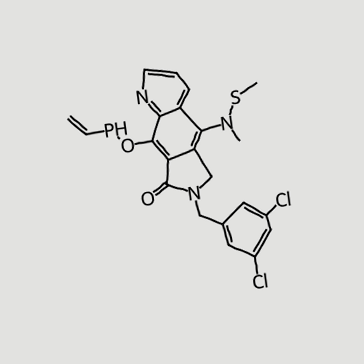 C=CPOc1c2c(c(N(C)SC)c3cccnc13)CN(Cc1cc(Cl)cc(Cl)c1)C2=O